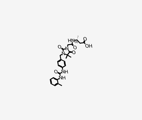 Cc1ccccc1NC(=O)Nc1ccc(CN2C(=O)N(CC(=O)N[C@H](C)CC(=O)O)C(=O)C2(C)C)cc1